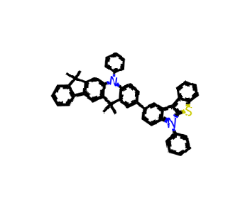 CC1(C)c2ccccc2-c2cc3c(cc21)N(c1ccccc1)c1ccc(-c2ccc4c(c2)c2c5ccccc5sc2n4-c2ccccc2)cc1C3(C)C